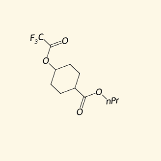 CCCOC(=O)C1CCC(OC(=O)C(F)(F)F)CC1